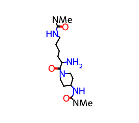 CNC(=O)NCCCC[C@@H](N)C(=O)N1CCC(NC(=O)NC)CC1